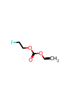 C=COC(=O)OCCF